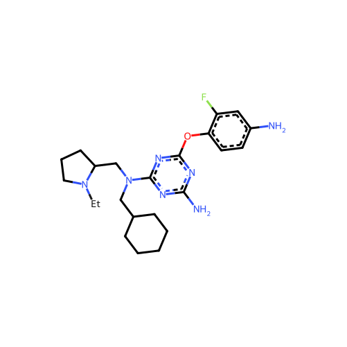 CCN1CCCC1CN(CC1CCCCC1)c1nc(N)nc(Oc2ccc(N)cc2F)n1